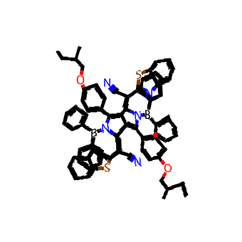 CCC(C)COc1ccc(-c2c3/c(=C(\C#N)c4nc5ccccc5s4)n(B(c4ccccc4)c4ccccc4)c(-c4ccc(OCC(C)CC)cc4)c3/c(=C(\C#N)c3cc4ccccc4s3)n2B(c2ccccc2)c2ccccc2)cc1